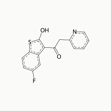 O=C(Cc1ccccn1)c1c(O)sc2ccc(F)cc12